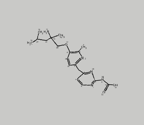 Cc1nc(-c2ccnc(NC(=O)O)n2)ccc1OCC(C)(N)CC(C)C